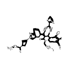 CCOC(=O)C1=C(C2CCc3nn([C@H]4C[C@H](C(=O)OC)C4)cc3C2)NC(c2nccs2)=NC1c1ccc(F)c(F)c1Cl